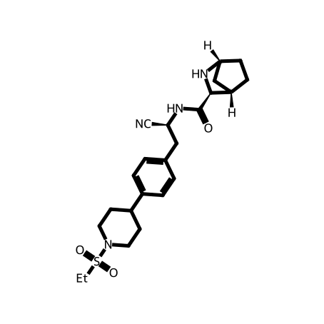 CCS(=O)(=O)N1CCC(c2ccc(C[C@@H](C#N)NC(=O)[C@H]3N[C@@H]4CC[C@H]3C4)cc2)CC1